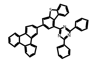 c1ccc(-c2nc(-c3ccccc3)nc(-c3cc(-c4ccc5c6ccccc6c6ccccc6c5c4)cc4sc5ccccc5c34)n2)cc1